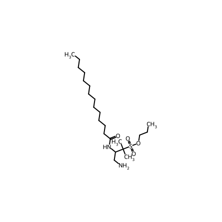 CCCCCCCCCCCCCC(=O)NC(CN)C(C)(C)S(=O)(=O)OCCC